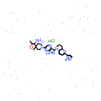 CC1OCC2(CCN(c3cnc4c(N5CCCc6nc(-c7ccnn7C)ccc65)n[nH]c4n3)CC2)C1N.Cl